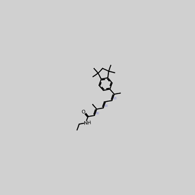 CCNC(=O)/C=C(C)/C=C/C=C(/C)c1ccc2c(c1)C(C)(C)CC2(C)C